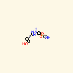 O=S(=O)(c1ccc(Nc2ncc(/C=C/c3cccc4c3CCC4O)cn2)cc1)C1CCNCC1